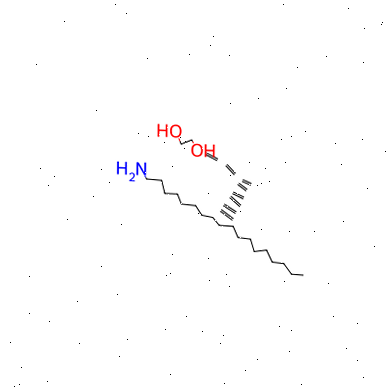 C=C.C=C.C=C.C=C.C=C.C=C.C=C.C=C.CCCCCCCCCCCCCCCCCCN.OCCO